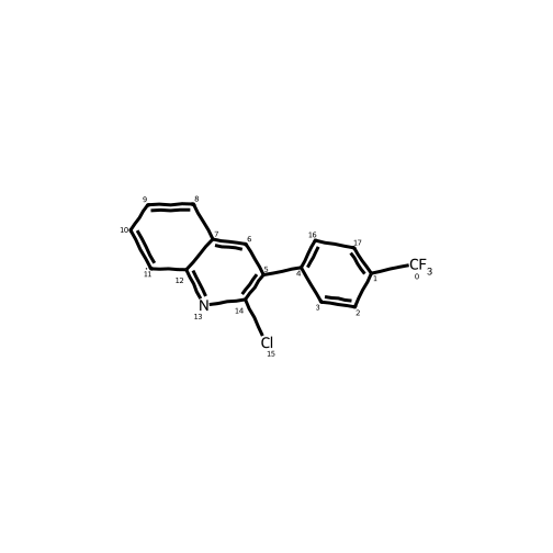 FC(F)(F)c1ccc(-c2cc3ccc[c]c3nc2Cl)cc1